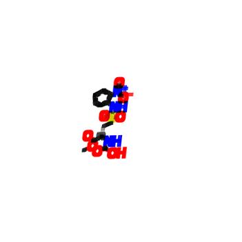 COC(=O)[C@H](CCS(=O)(=O)Nc1ccccc1[N+](=O)[O-])NC(=O)O